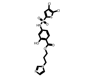 O=C(OCCCn1ccnc1)c1ccc(NS(=O)(=O)c2cc(Cl)c(Cl)s2)cc1O